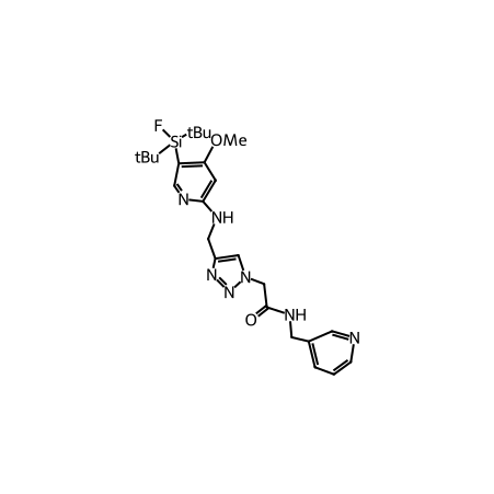 COc1cc(NCc2cn(CC(=O)NCc3cccnc3)nn2)ncc1[Si](F)(C(C)(C)C)C(C)(C)C